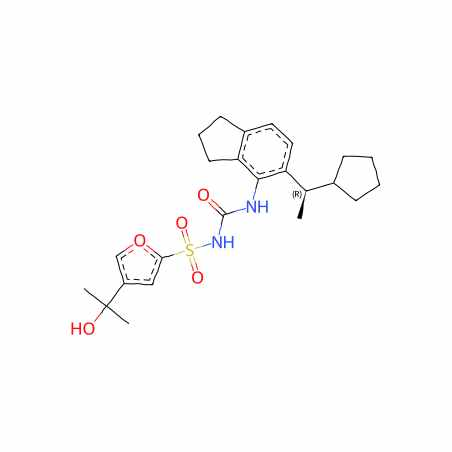 C[C@@H](c1ccc2c(c1NC(=O)NS(=O)(=O)c1cc(C(C)(C)O)co1)CCC2)C1CCCC1